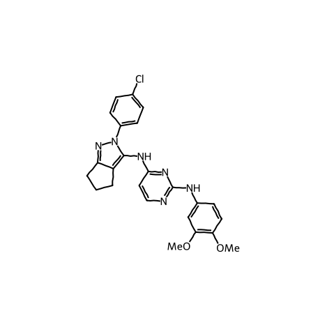 COc1ccc(Nc2nccc(Nc3c4c(nn3-c3ccc(Cl)cc3)CCC4)n2)cc1OC